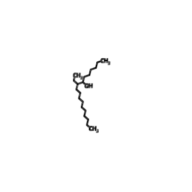 CCCCCCCCCCC(CC)C(O)CCCCCC